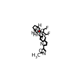 Cc1ncc(-c2ccc3cnc(NC(=O)N4[C@@H]5CC[C@H]4C[C@@H](NC(CF)CF)C5)cc3n2)o1